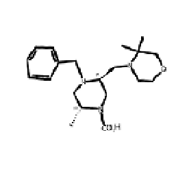 C[C@@H]1CN(Cc2ccccc2)[C@@H](CN2CCOCC2(C)C)CN1C(=O)O